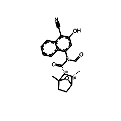 C[C@@H]1C2CCC(C)(O2)[C@@H]1C(=O)N(C=O)c1cc(O)c(C#N)c2ccccc12